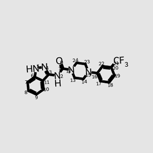 O=C(Nc1n[nH]c2ccccc12)N1CCN(c2cccc(C(F)(F)F)c2)CC1